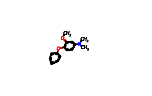 COc1cc(N(C)C)ccc1Oc1ccccc1